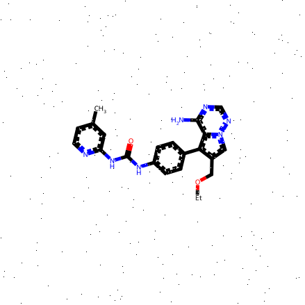 CCOCc1cn2ncnc(N)c2c1-c1ccc(NC(=O)Nc2cc(C)ccn2)cc1